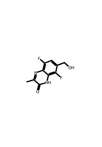 Cc1nc2c(F)cc(CO)c(F)c2[nH]c1=O